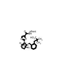 CCCCCNC(=O)c1coc([C@H]2[C@@H](Cc3ccccc3CC(C)(C)C(=O)O)[C@@H]3CC[C@H]2O3)n1